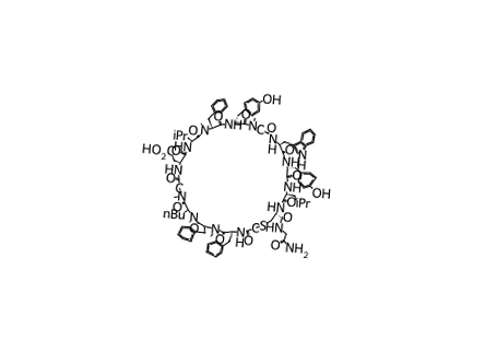 CCCC[C@H]1C(=O)N(C)CC(=O)N[C@@H](CC(=O)O)C(=O)N[C@@H](C(C)C)C(=O)N(C)[C@@H](Cc2ccccc2)C(=O)N[C@H](Cc2ccc(O)cc2)C(=O)N(C)CC(=O)N[C@@H](Cc2c[nH]c3ccccc23)C(=O)N[C@H](Cc2ccc(O)cc2)C(=O)N[C@@H](CC(C)C)C(=O)N[C@H](C(=O)NCC(N)=O)CSCC(=O)N[C@@H](Cc2ccccc2)C(=O)N(C)C(Cc2ccccc2)C(=O)N1C